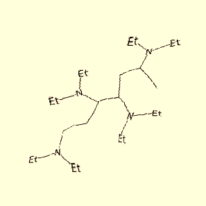 CCN(CC)CCC(C(CC(C)N(CC)CC)N(CC)CC)N(CC)CC